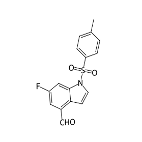 Cc1ccc(S(=O)(=O)n2ccc3c(C=O)cc(F)cc32)cc1